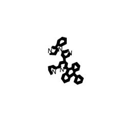 c1ccc(-c2c3ccccc3c(-c3cc(-c4cncc(-n5c6ccccc6c6cnccc65)c4)cc(-c4ccccn4)n3)c3ccccc23)cc1